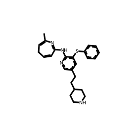 CC1=CCC=CC(Nc2ncc(CCC3CCNCC3)cc2Sc2ccccc2)=N1